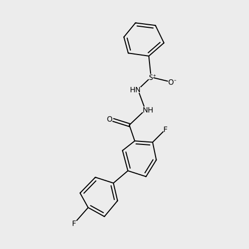 O=C(NN[S+]([O-])c1ccccc1)c1cc(-c2ccc(F)cc2)ccc1F